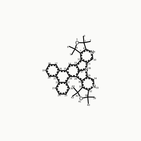 CC1(C)OC(C)(C)c2c1ncc1c2c2cc3c4ccccc4c4ccccc4c3c3c4c5c(ncc4n1c23)C(C)(C)OC5(C)C